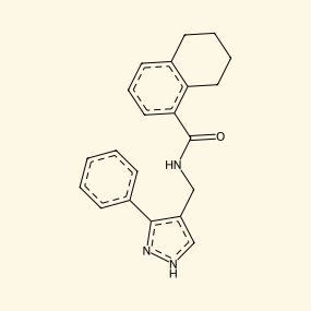 O=C(NCc1c[nH]nc1-c1ccccc1)c1cccc2c1CCCC2